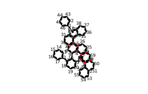 c1ccc(-c2ccccc2-c2c(-c3ccccc3)cccc2N(c2cccc(-c3cccc4c3c3ccccc3n4-c3ccccc3)c2)c2cccc3ccccc23)cc1